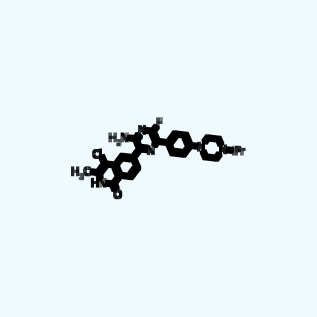 Cc1[nH]c(=O)c2ccc(-c3nc(-c4ccc(N5CCN(C(C)C)CC5)cc4)c(F)nc3N)cc2c1Cl